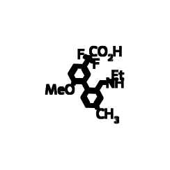 CCNCc1cc(C)ccc1-c1cc(C(F)(F)C(=O)O)ccc1OC